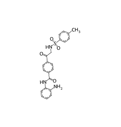 Cc1ccc(S(=O)(=O)NCC(=O)c2ccc(C(=O)Nc3ccccc3N)cc2)cc1